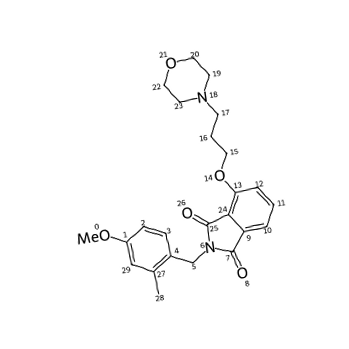 COc1ccc(CN2C(=O)c3cccc(OCCCN4CCOCC4)c3C2=O)c(C)c1